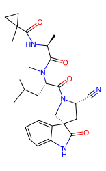 CC(C)C[C@@H](C(=O)N1C[C@]2(C[C@H]1C#N)C(=O)Nc1ccccc12)N(C)C(=O)[C@H](C)NC(=O)C1(C)CC1